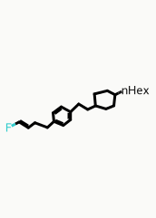 CCCCCCC1CCC(CCc2ccc(CC/C=C/F)cc2)CC1